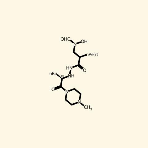 CCCCCC(CN(O)C=O)C(=O)NN[C@H](CCCC)C(=O)N1CCN(C)CC1